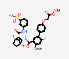 CCCCOC(=O)COc1ccc(-c2cc(C(=O)N[C@@H]3[C@H]4CC[C@H](C4)[C@@H]3C(=O)Nc3cccc(S(=O)(=O)C(F)(F)F)c3)c(OC)cc2F)cc1